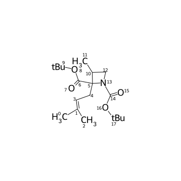 CC(C)=CCC1(C(=O)OC(C)(C)C)C(C)CN1C(=O)OC(C)(C)C